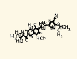 Cc1c(-c2noc(-c3cnc(OC(C)C)c(C#N)c3)n2)ccc2c1CCN(C(=O)[C@@H](N)C(C)O)C2.Cl